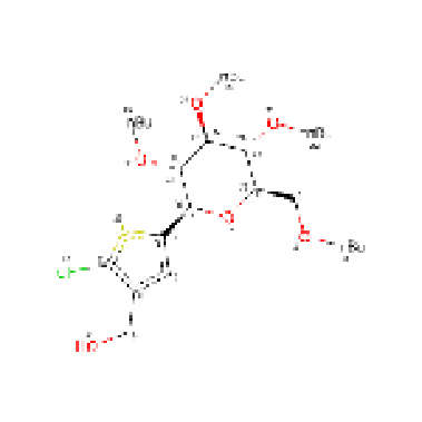 CCCCOC[C@H]1O[C@@H](c2cc(CO)c(Cl)s2)[C@H](OCCCC)[C@@H](OCCCC)[C@@H]1OCCCC